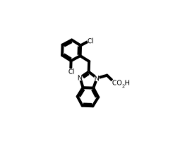 O=C(O)Cn1c(Cc2c(Cl)cccc2Cl)nc2ccccc21